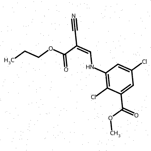 CCCOC(=O)C(C#N)=CNc1cc(Cl)cc(C(=O)OC)c1Cl